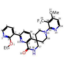 CCOc1ncccc1-c1ccc2c(n1)C(=O)NCC21CCN(c2nccc(OC)c2C(F)(F)F)CC1